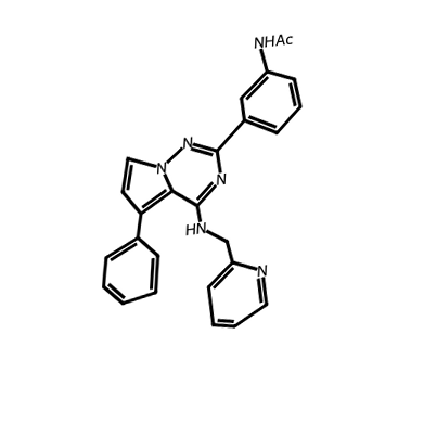 CC(=O)Nc1cccc(-c2nc(NCc3ccccn3)c3c(-c4ccccc4)ccn3n2)c1